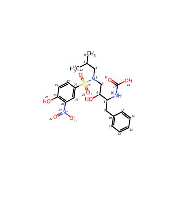 CC(C)CN(C[C@H](O)[C@H](Cc1ccccc1)NC(=O)O)S(=O)(=O)c1ccc(O)c([N+](=O)[O-])c1